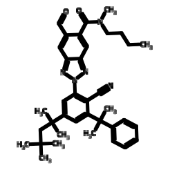 CCCCN(C)C(=O)c1cc2nn(-c3cc(C(C)(C)CC(C)(C)C)cc(C(C)(C)c4ccccc4)c3C#N)nc2cc1C=O